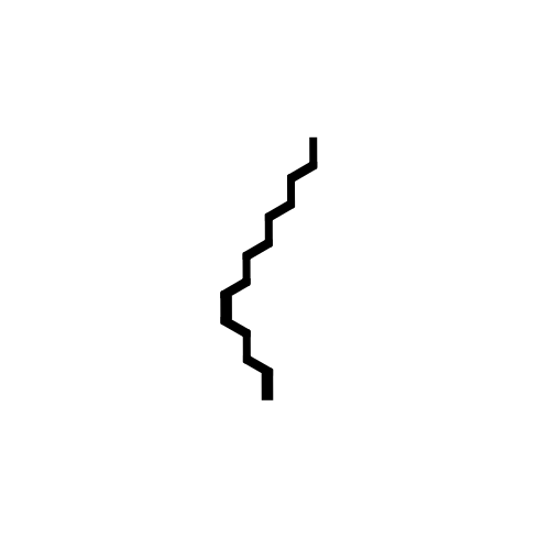 C=CCC/C=C\CCCCCCCC